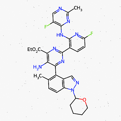 CCOC(=O)c1nc(-c2ccc(F)nc2Nc2nc(C)ncc2F)nc(-c2c(C)ccc3c2cnn3C2CCCCO2)c1N